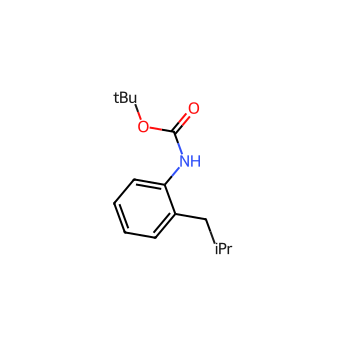 CC(C)Cc1ccccc1NC(=O)OC(C)(C)C